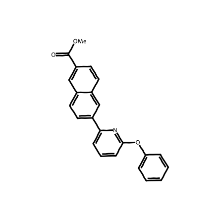 COC(=O)c1ccc2cc(-c3cccc(Oc4ccccc4)n3)ccc2c1